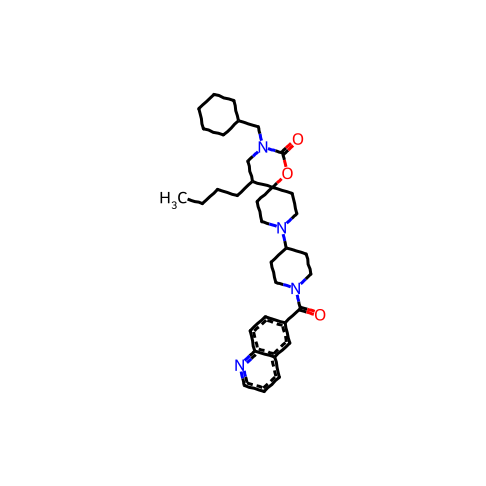 CCCCC1CN(CC2CCCCC2)C(=O)OC12CCN(C1CCN(C(=O)c3ccc4ncccc4c3)CC1)CC2